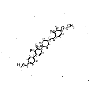 C=Cc1ccc(-c2ccc(C3CCC(OCc4ccc(OCC)c(F)c4F)CC3)c(F)c2F)cc1